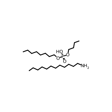 CCCCCCCCCCCCN.CCCCCCCCOP(=O)(O)OCCCC